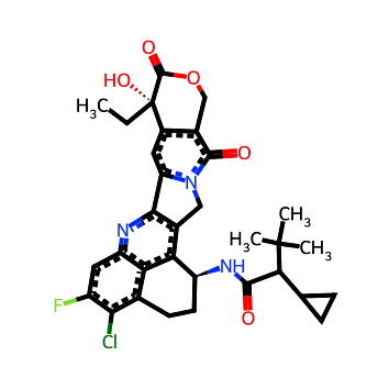 CC[C@@]1(O)C(=O)OCc2c1cc1n(c2=O)Cc2c-1nc1cc(F)c(Cl)c3c1c2[C@@H](NC(=O)C(C1CC1)C(C)(C)C)CC3